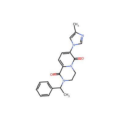 Cc1cn(-c2ccc3n(c2=O)CCN(C(C)c2ccccc2)C3=O)cn1